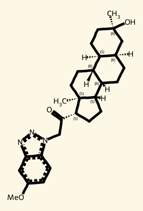 COc1ccc2c(c1)nnn2CC(=O)[C@H]1CC[C@H]2[C@@H]3CC[C@@H]4C[C@](C)(O)CC[C@@H]4[C@H]3CC[C@]12C